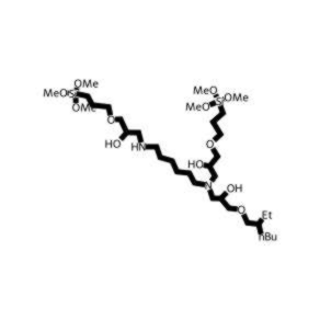 CCCCC(CC)COCC(O)CN(CCCCCCNCC(O)COCCC[Si](OC)(OC)OC)CC(O)COCCC[Si](OC)(OC)OC